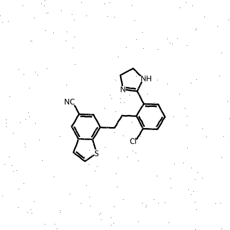 N#Cc1cc(CCc2c(Cl)cccc2C2=NCCN2)c2sccc2c1